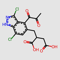 CC(=O)C(=O)c1c(CC(CC(=O)O)C(=O)O)cc(Cl)c2[nH]nc(Cl)c12